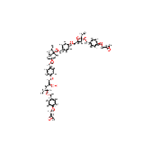 CCC(C)(CC(O)COc1ccc(COC(C)(C)C(C)C(C)(CC)OCc2ccc(OCC3CC(CC)(OCc4ccc(OCC5CO5)cc4)O3)cc2)cc1)OCc1ccc(OCC2CO2)cc1